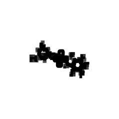 CCN1C=[N+](CC)CN(C)C1.O=S(=O)([O-])OCc1c(F)c(F)c(F)c(F)c1F